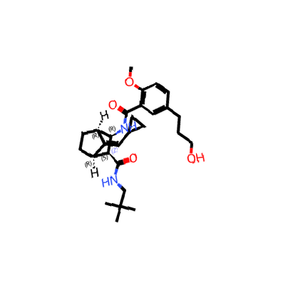 COc1ccc(CCCO)cc1C(=O)N[C@H]1[C@@H](C(=O)NCC(C)(C)C)[C@H]2CC[C@@H]1/C2=C\C1CC1